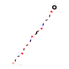 CCCCCCCOCCOCCNC(=O)OCCOCCOCCNC(=O)OC/C=C/COC(=O)NCCOCCOCCOC(=O)Oc1ccc([N+](=O)[O-])cc1